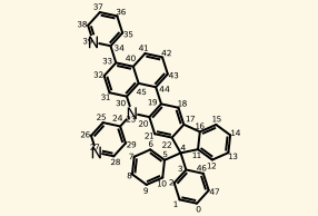 c1ccc(C2(c3ccccc3)c3ccccc3-c3cc4c(cc32)N(c2ccncc2)c2ccc(-c3ccccn3)c3cccc-4c23)cc1